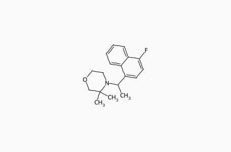 CC(c1ccc(F)c2ccccc12)N1CCOCC1(C)C